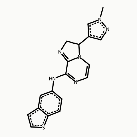 Cn1cc(C2CN=C3C(Nc4ccc5sccc5c4)=NC=CN32)cn1